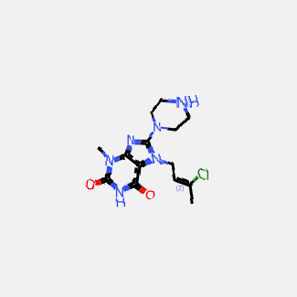 C/C(Cl)=C/Cn1c(N2CCNCC2)nc2c1c(=O)[nH]c(=O)n2C